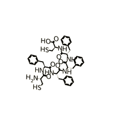 N[C@@H](CS)C(=O)N[C@@H](Cc1ccccc1)C(=O)N[C@@H](Cc1ccccc1)C(=O)N[C@@H](Cc1ccccc1)C(=O)N[C@@H](Cc1ccccc1)C(=O)N[C@@H](CS)C(=O)O